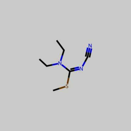 CCN(CC)/C(=N\C#N)SC